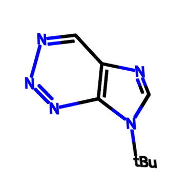 CC(C)(C)n1cnc2cnnnc21